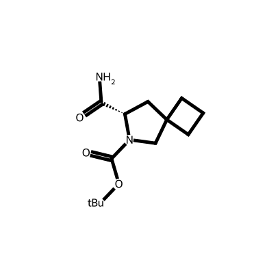 CC(C)(C)OC(=O)N1CC2(CCC2)C[C@H]1C(N)=O